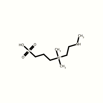 CNCC[N+](C)(C)CCCS(=O)(=O)O